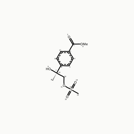 COC(=O)c1ccc([C@](C)(O)COS(C)(=O)=O)cc1